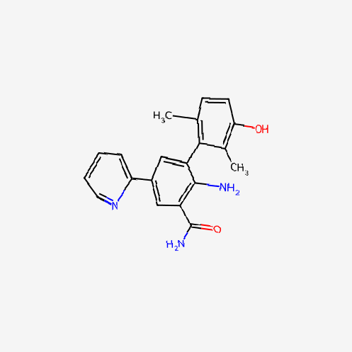 Cc1ccc(O)c(C)c1-c1cc(-c2ccccn2)cc(C(N)=O)c1N